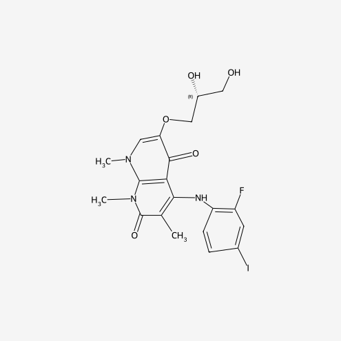 Cc1c(Nc2ccc(I)cc2F)c2c(=O)c(OC[C@H](O)CO)cn(C)c2n(C)c1=O